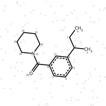 CCC(C)c1cccc(C(=O)N2CCCCC2)c1